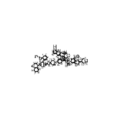 CC(C)Oc1ccccc1[C@@H]1CN([C@H]2CCOc3ccccc32)CCN1C1CC2(CCN(c3ccc(C(=O)NS(=O)(=O)c4cc5c(c([N+](=O)[O-])c4)N[C@H](C4CCOCC4)CO5)c(N4c5cc6cc[nH]c6nc5O[C@H]5COCC[C@@H]54)c3)CC2)C1